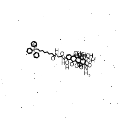 C[C@H]1c2ccc(NC(=O)CNC(=O)CCCCCCC[PH](c3ccccc3)(c3ccccc3)c3ccccc3)c(O)c2C(=O)C2=C(O)[C@]3(O)C(=O)C(C(N)=O)=C(O)[C@@H](N(C)C)[C@@H]3[C@@H](O)[C@@H]21